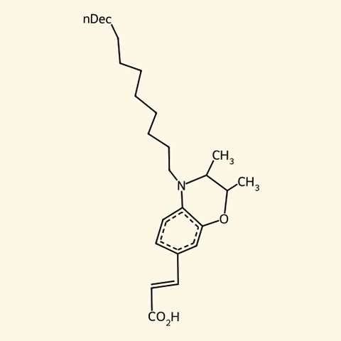 CCCCCCCCCCCCCCCCCCN1c2ccc(C=CC(=O)O)cc2OC(C)C1C